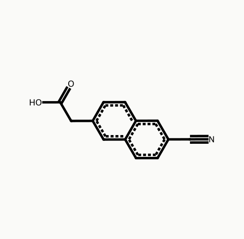 N#Cc1ccc2cc(CC(=O)O)ccc2c1